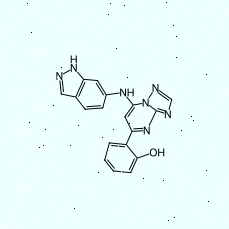 Oc1ccccc1-c1cc(Nc2ccc3cn[nH]c3c2)n2ncnc2n1